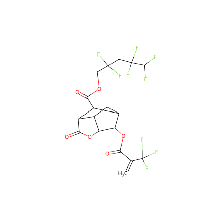 C=C(C(=O)OC1C2CC3C1OC(=O)C3C2C(=O)OCC(F)(F)CC(F)(F)C(F)F)C(F)(F)F